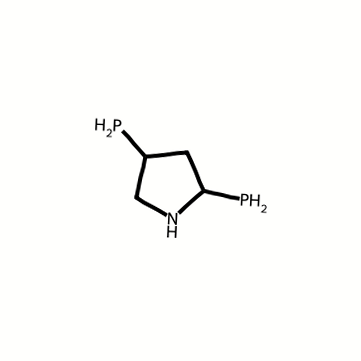 PC1CNC(P)C1